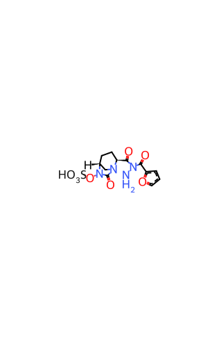 NN(C(=O)c1ccco1)C(=O)[C@@H]1CC[C@@H]2CN1C(=O)N2OS(=O)(=O)O